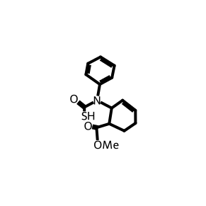 COC(=O)C1CCC=CC1N(C(=O)S)c1ccccc1